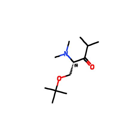 CC(C)C(=O)[C@H](COC(C)(C)C)N(C)C